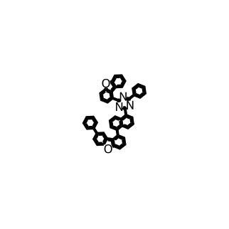 c1ccc(-c2ccc3oc4cccc(-c5cccc6c(-c7nc(-c8ccccc8)nc(-c8cccc9oc%10ccccc%10c89)n7)cccc56)c4c3c2)cc1